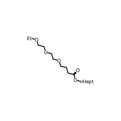 CCCCCCCOC(=O)CCCOCCOCCOCC